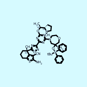 C[C@H](Oc1nc(-c2noc([C@@]3(C)CCCc4sc(N)c(C#N)c43)n2)nc(N2CCOCC(C)(O[Si](c3ccccc3)(c3ccccc3)C(C)(C)C)C2)n1)[C@@H]1CCCN1C